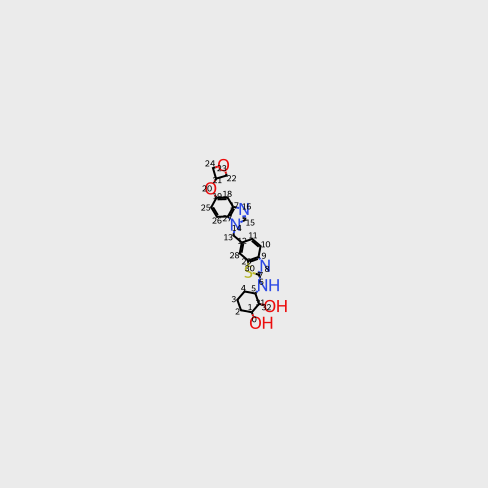 OC1CCCC(Nc2nc3ccc(Cn4cnc5cc(OC6COC6)ccc54)cc3s2)C1O